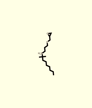 CCCCCCCC(C)(C)[SiH2]CCCOCC1CO1